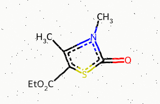 CCOC(=O)c1sc(=O)n(C)c1C